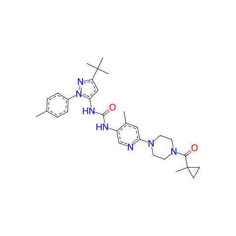 Cc1ccc(-n2nc(C(C)(C)C)cc2NC(=O)Nc2cnc(N3CCN(C(=O)C4(C)CC4)CC3)cc2C)cc1